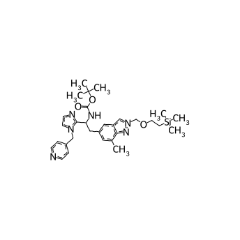 Cc1cc(CC(NC(=O)OC(C)(C)C)c2nccn2Cc2ccncc2)cc2cn(COCC[Si](C)(C)C)nc12